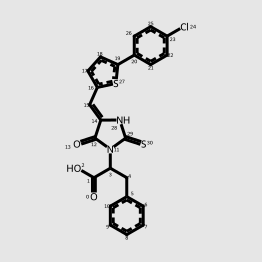 O=C(O)C(Cc1ccccc1)N1C(=O)/C(=C/c2ccc(-c3ccc(Cl)cc3)s2)NC1=S